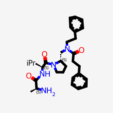 CC(C)[C@H](NC(=O)[C@H](C)N)C(=O)N1CCC[C@H]1CN(CCc1ccccc1)C(=O)CCc1ccccc1